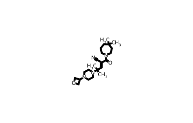 CC1(C)CCCN(C(=O)/C(C#N)=C/C(C)(C)N2CCN(C3COC3)CC2)CC1